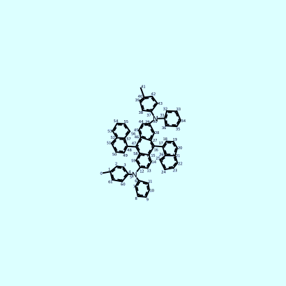 Cc1ccc(N(c2ccccc2)c2ccc3c(-c4cccc5ccccc45)c4cc(N(c5ccccc5)c5ccc(C)cc5)ccc4c(-c4cccc5ccccc45)c3c2)cc1